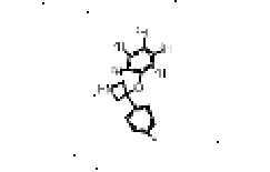 [2H]c1c([2H])c([2H])c(OC2(c3ccc(F)cc3)CNC2)c([2H])c1[2H]